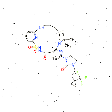 CC1(C)C[C@@H]2CCCNc3cccc(n3)S(=O)(=O)NC(=O)c3ccc(N4CCN(CCC5(C(F)(F)F)CC5)C4=O)nc3N1C2